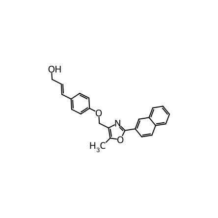 Cc1oc(-c2ccc3ccccc3c2)nc1COc1ccc(C=CCO)cc1